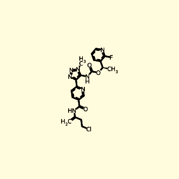 C=C(CCCl)NC(=O)c1ccc(-c2nnn(C)c2NC(=O)O[C@H](C)c2cccnc2F)nc1